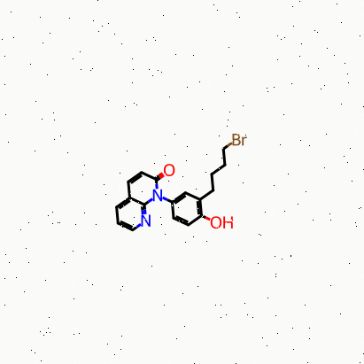 O=c1ccc2cccnc2n1-c1ccc(O)c(CCCCBr)c1